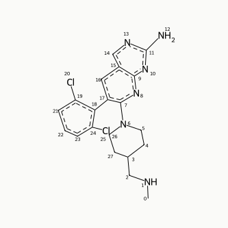 CNCC1CCN(c2nc3nc(N)ncc3cc2-c2c(Cl)cccc2Cl)CC1